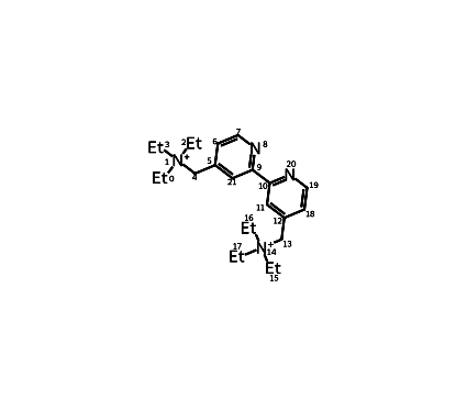 CC[N+](CC)(CC)Cc1ccnc(-c2cc(C[N+](CC)(CC)CC)ccn2)c1